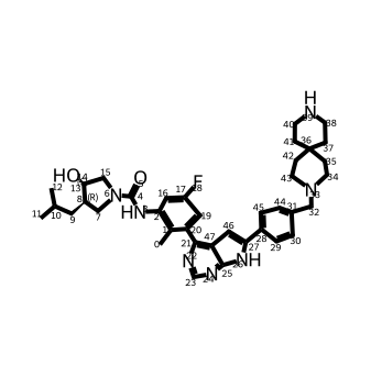 Cc1c(NC(=O)N2C[C@@H](CC(C)C)[C@H](O)C2)cc(F)cc1-c1ncnc2[nH]c(-c3ccc(CN4CCC5(CCNCC5)CC4)cc3)cc12